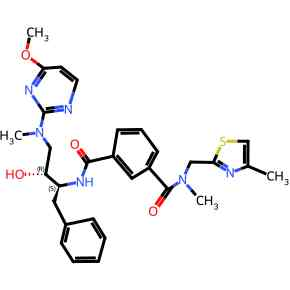 COc1ccnc(N(C)C[C@@H](O)[C@H](Cc2ccccc2)NC(=O)c2cccc(C(=O)N(C)Cc3nc(C)cs3)c2)n1